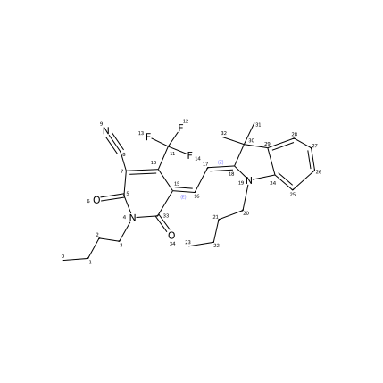 CCCCN1C(=O)C(C#N)=C(C(F)(F)F)/C(=C\C=C2/N(CCCC)c3ccccc3C2(C)C)C1=O